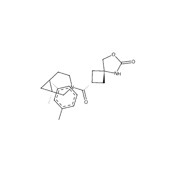 Cc1cccc([C@]23CCN(C(=O)[C@H]4C[C@]5(COC(=O)N5)C4)C[C@@]2(C)C3)c1